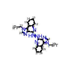 CC(C)Cn1cnc2c(NNc3nc4ccccc4c4c3ncn4CC(C)C)nc3ccccc3c21